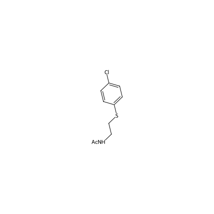 CC(=O)NCCSc1ccc(Cl)cc1